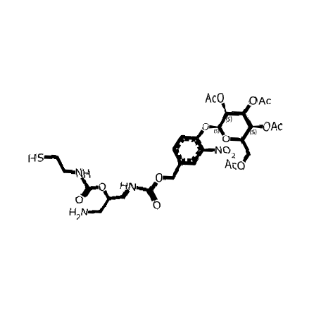 CC(=O)OCC1O[C@@H](Oc2ccc(COC(=O)NCC(CN)OC(=O)NCCS)cc2[N+](=O)[O-])[C@@H](OC(C)=O)C(OC(C)=O)[C@H]1OC(C)=O